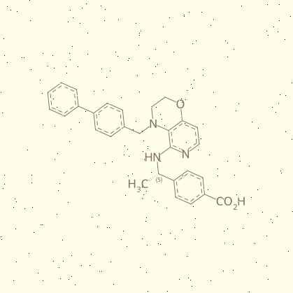 C[C@H](Nc1nccc2c1N(Cc1ccc(-c3ccccc3)cc1)CCO2)c1ccc(C(=O)O)cc1